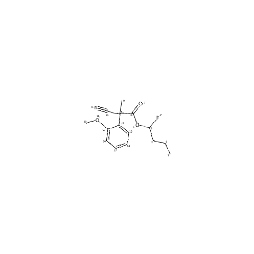 CCCC(F)OC(=O)C(C)(C#N)c1ccccc1OC